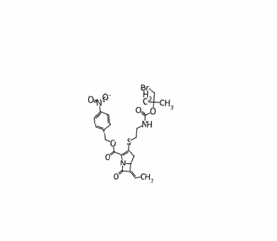 C/C=C1/C(=O)N2C(C(=O)OCc3ccc([N+](=O)[O-])cc3)=C(SCCNC(=O)OC(C)(C)CBr)CC12